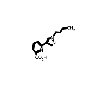 C=CCCn1cc(-c2cccc(C(=O)O)n2)cn1